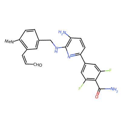 CNc1ccc(CNc2nc(-c3cc(F)c(C(N)=O)c(F)c3)ccc2N)cc1/C=C\C=O